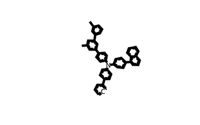 Cc1cccc(-c2cc(C)cc(-c3ccc(N(c4ccc(-c5ccccc5)cc4)c4ccc(-c5cccc6ccccc56)cc4)cc3)c2)c1